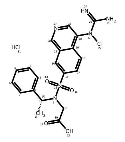 C[C@H](c1ccccc1)N(CC(=O)O)S(=O)(=O)c1ccc2c(N(Cl)C(=N)N)cncc2c1.Cl